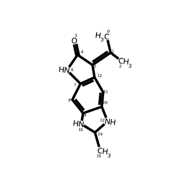 CC(C)=C1C(=O)Nc2cc3c(cc21)NC(C)N3